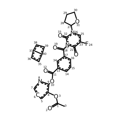 CC(=O)Oc1cccnc1OC(=O)c1cccc(C(=O)n2c(=O)c(F)cn(C3CCCO3)c2=O)c1.c1cc2ccc1-2